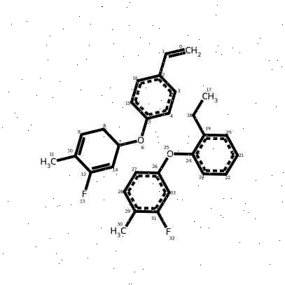 C=Cc1ccc(O[C]2[C]C=C(C)C(F)=C2)cc1.CCc1ccccc1Oc1ccc(C)c(F)c1